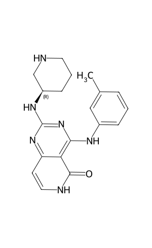 Cc1cccc(Nc2nc(N[C@@H]3CCCNC3)nc3cc[nH]c(=O)c23)c1